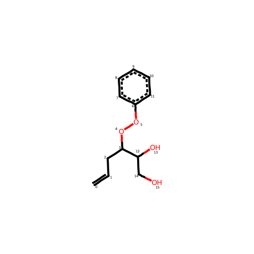 C=CCC(OOc1ccccc1)C(O)CO